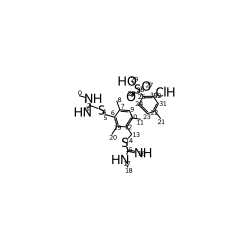 CNC(=N)SCc1c(C)cc(C)c(CSC(=N)NC)c1C.Cc1ccc(S(=O)(=O)O)cc1.Cl